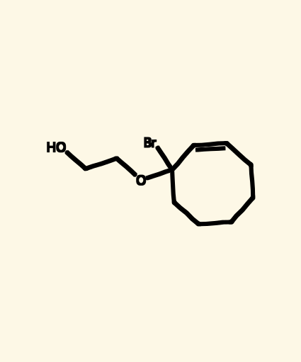 OCCOC1(Br)/C=C\CCCCC1